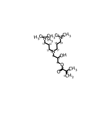 C=C(C)C(=O)OCC(O)CN(CCCN(C)C)CCCN(C)C